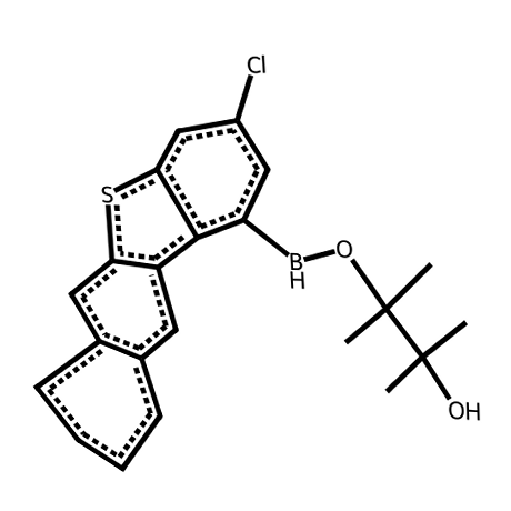 CC(C)(O)C(C)(C)OBc1cc(Cl)cc2sc3cc4ccccc4cc3c12